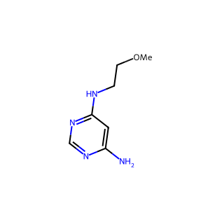 COCCNc1cc(N)ncn1